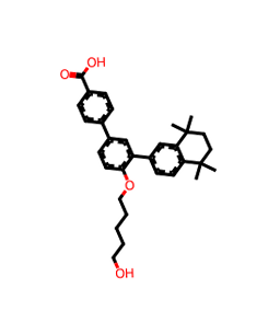 CC1(C)CCC(C)(C)c2cc(-c3cc(-c4ccc(C(=O)O)cc4)ccc3OCCCCCO)ccc21